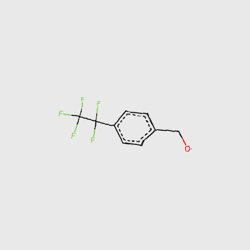 [O]Cc1ccc(C(F)(F)C(F)(F)F)cc1